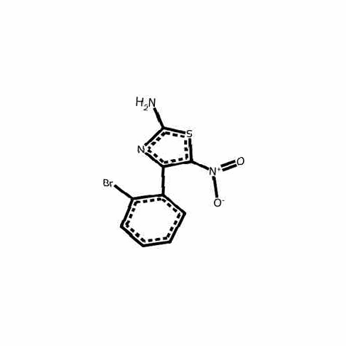 Nc1nc(-c2ccccc2Br)c([N+](=O)[O-])s1